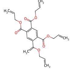 C=CCOC(=C)c1cc(C(=O)OCC=C)c(C(=O)OCC=C)cc1C(=O)OCC=C